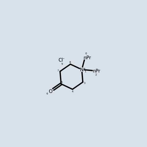 CCC[N+]1(CCC)CCC(=O)CC1.[Cl-]